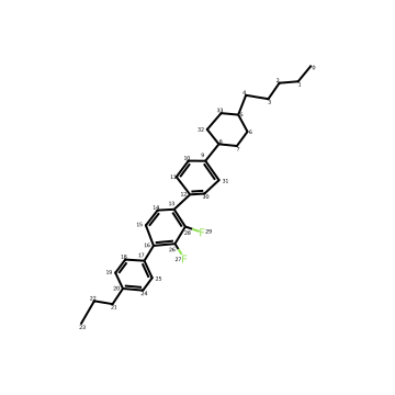 CCCCCC1CCC(c2ccc(-c3ccc(-c4ccc(CCC)cc4)c(F)c3F)cc2)CC1